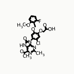 COc1cccc(F)c1COc1cc(-n2c(=O)[nH]c3c(C(C)=O)nc(C)nc32)c(Cl)cc1OCC(=O)O